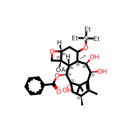 CC[Si](CC)(CC)OC1C[C@H]2OC[C@@]2(OC(C)=O)[C@H]2[C@H](OC(=O)c3ccccc3)[C@]3(O)C[C@H](C)C(C)=C([C@H](O)[C@H](O)[C@]12C)C3(C)C